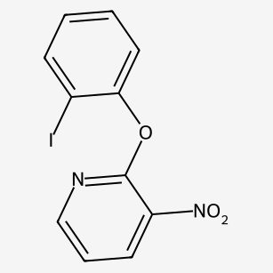 O=[N+]([O-])c1cccnc1Oc1ccccc1I